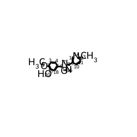 COc1ccc(-c2nc(-c3ccc(C)nc3)no2)cc1O